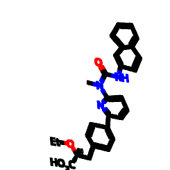 CCO[C@@H](Cc1ccc(-c2cccc(N(C)C(=O)Nc3ccc4ccccc4c3)n2)cc1)C(=O)O